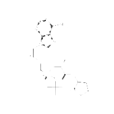 C[C@H](Cn1cnc2c(N)ncnc21)OC[P@](=O)(NC(C)(C)C(=O)O)O[C@@H](C)C(=O)OC1CCCC1